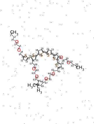 CCCCOCCOCCc1ccc(-c2sc(-c3ccc(-c4ccc(-c5cc(OCCOCCCC)c(-c6ccc(CCOCCOCCCC)s6)s5)s4)s3)cc2CCOCCOCCCC)s1